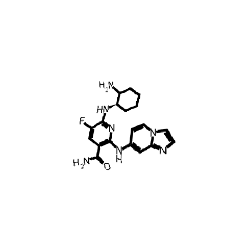 NC(=O)c1cc(F)c(N[C@@H]2CCCCC2N)nc1Nc1ccn2ccnc2c1